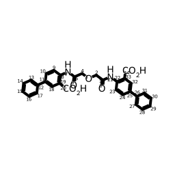 O=C(COCC(=O)Nc1ccc(-c2ccccc2)cc1C(=O)O)Nc1ccc(-c2ccccc2)cc1C(=O)O